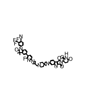 Cn1c2c(c3ccc(N4CC5(CCN(CC6CN(c7ccc(-c8ccc9c(c8)C(C)(C)C(=O)N9c8ccc(C#N)c(C(F)(F)F)c8)c(F)n7)C6)CC5)C4)cc31)C(=O)N(C1CCC(=O)NC1=O)C2=O